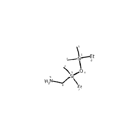 CC[Si](C)(C)O[Si](C)(CC)CN